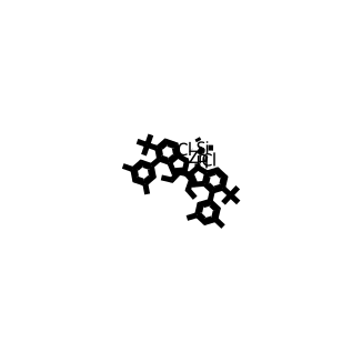 CCCC1=Cc2c(ccc(C(C)(C)C)c2-c2cc(C)cc(C)c2)[CH]1[Zr]([Cl])([Cl])([CH]1C(CCC)=Cc2c1ccc(C(C)(C)C)c2-c1cc(C)cc(C)c1)[SiH](C)C